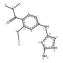 CN(C)C(=O)c1ccc(Nc2n[nH]c(N)n2)cc1CI